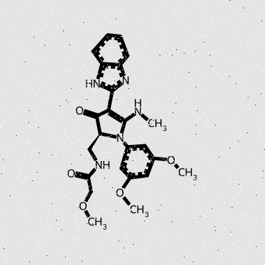 CNC1=C(c2nc3ccccc3[nH]2)C(=O)[C@H](CNC(=O)COC)N1c1cc(OC)cc(OC)c1